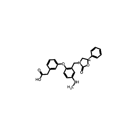 CBc1ccc(Oc2cccc(CC(=O)O)c2)c(CN2C[C@@H](c3ccccc3)OC2=O)c1